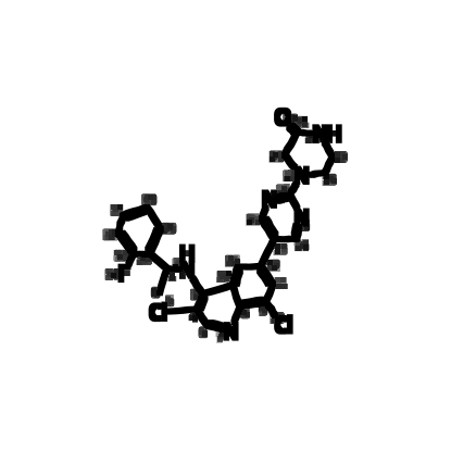 CC(Nc1c(Cl)cnc2c(Cl)cc(-c3cnc(N4CCNC(=O)C4)nc3)cc12)c1ccccc1F